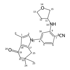 Cc1cn(-c2ccc(C#N)c(NC3CCOC3)c2)c2c1C(=O)CC(C)(C)C2